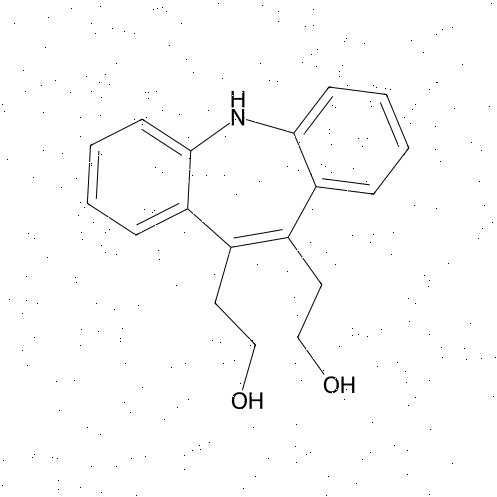 OCCC1=C(CCO)c2ccccc2Nc2ccccc21